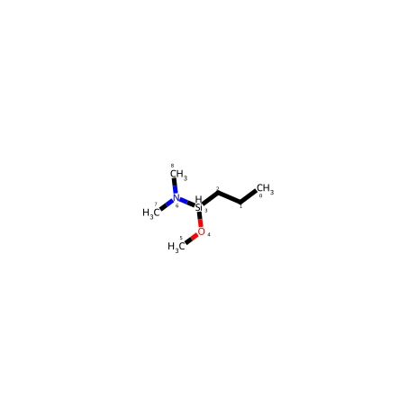 CCC[SiH](OC)N(C)C